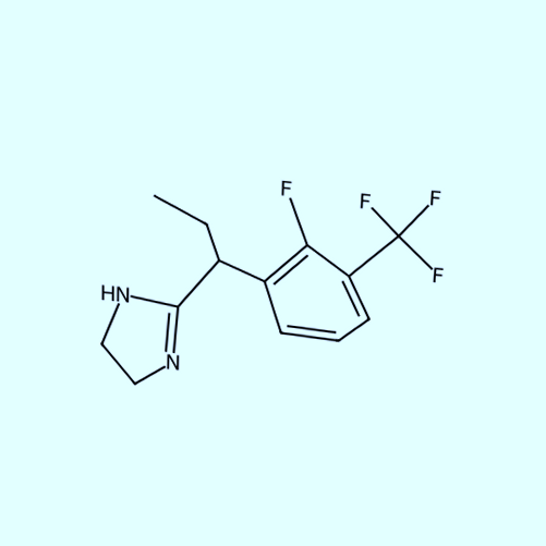 CCC(C1=NCCN1)c1cccc(C(F)(F)F)c1F